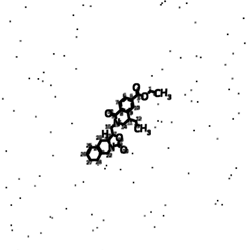 CCOC(=O)c1ccc2c(c1)C(CC)CN(CC1OC(=O)N3CC4=C(C=CCC4)C[C@@H]13)C2=O